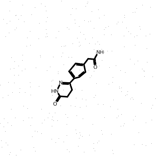 [NH]C(=O)Cc1ccc(C2=NNC(=O)CC2)cc1